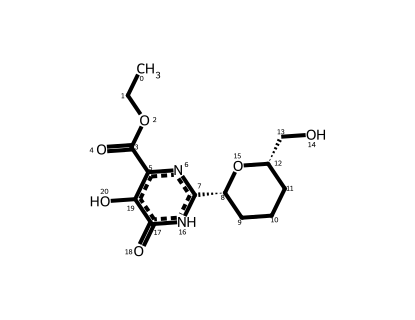 CCOC(=O)c1nc([C@H]2CCC[C@@H](CO)O2)[nH]c(=O)c1O